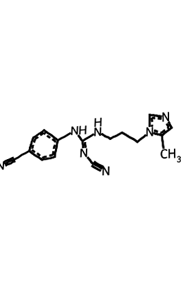 Cc1cncn1CCCNC(=NC#N)Nc1ccc(C#N)cc1